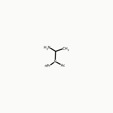 CCCN(C(C)=O)C(C)N